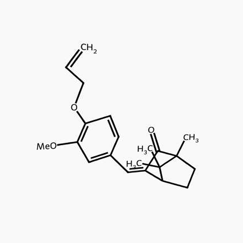 C=CCOc1ccc(C=C2C(=O)C3(C)CCC2C3(C)C)cc1OC